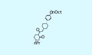 CCCCCCCCOc1ccc([C@H]2CC[C@H](CC(=O)C3CCC(CCC)CC3=O)CC2)cc1